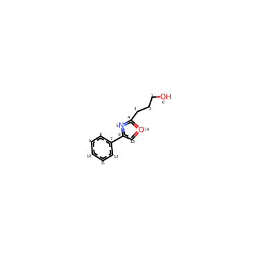 OCCCc1nc(-c2ccccc2)co1